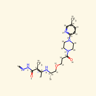 C=NNC(=O)/C(=C(\C)N[C@@H](C)COCCC(=O)N1CCN(c2ccc(C(F)(F)F)cn2)CC1)C(F)(F)F